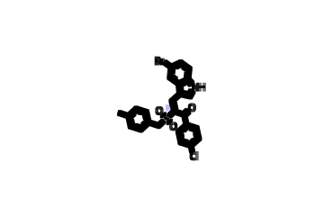 Cc1ccc(CS(=O)(=O)/C(=C/c2c[nH]c3ccc(Br)cc23)C(=O)c2ccc(Cl)cc2)cc1